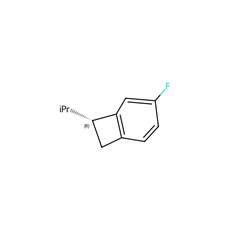 CC(C)[C@H]1Cc2ccc(F)cc21